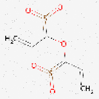 C=CC(OC(C=C)=S(=O)=O)=S(=O)=O